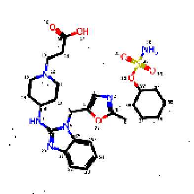 Cc1ncc(Cn2c(NC3CCN(CCC(=O)O)CC3)nc3ccccc32)o1.NS(=O)(=O)OC1CCCCC1